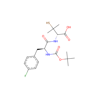 CC(C)(C)OC(=O)N[C@@H](Cc1ccc(F)cc1)C(=O)N[C@@H](C(=O)O)C(C)(C)S